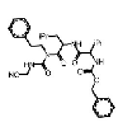 CC(C)CC(NC(=O)C(NC(=O)OCc1ccccc1)C(C)C)C(=O)N(CCc1ccccc1)C(=O)NCC#N